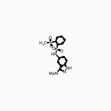 CNc1n[nH]c2ccc(NS(=O)(=O)c3ccccc3S(C)(=O)=O)cc12